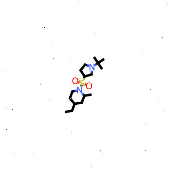 CCC1CCN(S(=O)(=O)C2CCN(C(C)(C)C)C2)C(C)C1